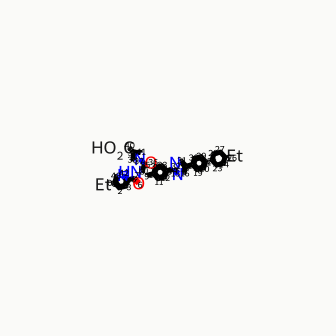 CCc1ccc(C(=O)N[C@@H](Cc2ccc(-c3ncc(-c4ccc([C@H]5CC[C@H](CC)CC5)cc4)cn3)cc2)C(=O)N2CC(C(=O)O)C2)nc1